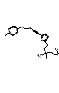 Cc1ccc(OCCC#Cc2ccc(CCC(C)(N)CCP(=O)(O)O)s2)cc1